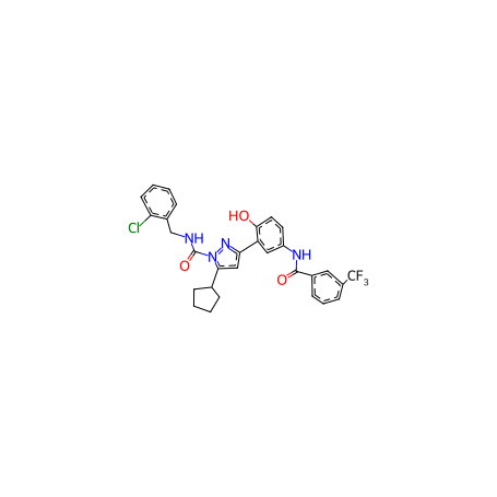 O=C(Nc1ccc(O)c(-c2cc(C3CCCC3)n(C(=O)NCc3ccccc3Cl)n2)c1)c1cccc(C(F)(F)F)c1